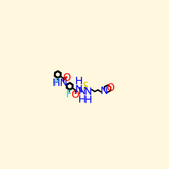 O=C(NNC(=S)NCCCCN1CCOCC1)c1ccc(NC(=O)c2ccccc2F)cc1F